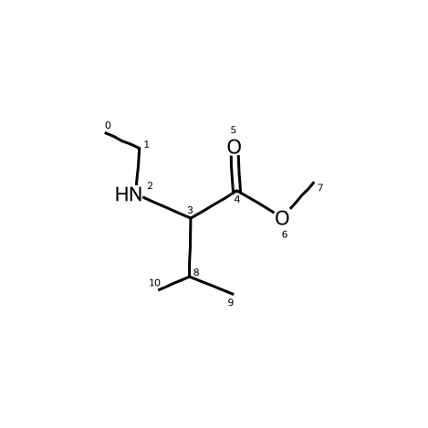 CCNC(C(=O)OC)C(C)C